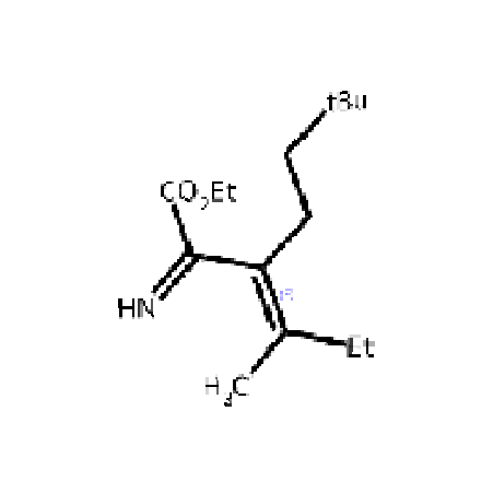 CCOC(=O)C(=N)/C(CCC(C)(C)C)=C(\C)CC